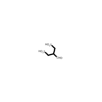 O=[C]C(CS(=O)(=O)O)CS(=O)(=O)O